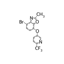 Cc1nc2c(Br)ccc(Oc3ccc(C(F)(F)F)nc3)c2o1